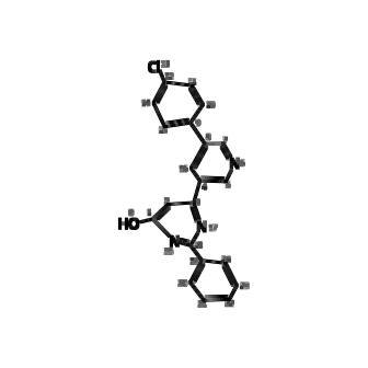 Oc1cc(-c2cncc(-c3ccc(Cl)cc3)c2)nc(-c2ccccc2)n1